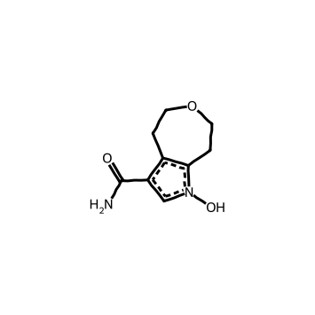 NC(=O)c1cn(O)c2c1CCOCC2